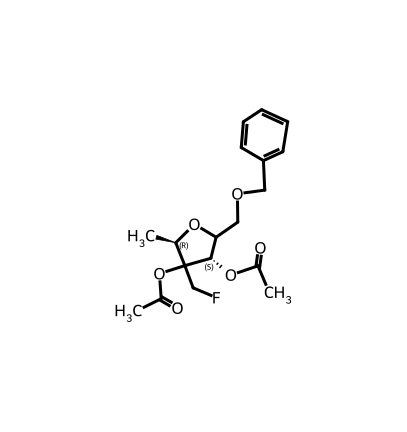 CC(=O)O[C@H]1C(COCc2ccccc2)O[C@H](C)C1(CF)OC(C)=O